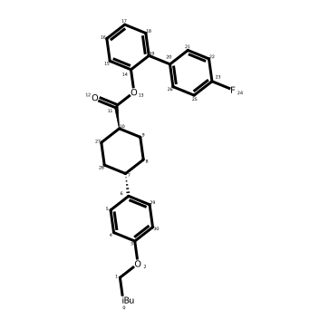 CCC(C)COc1ccc([C@H]2CC[C@H](C(=O)Oc3ccccc3-c3ccc(F)cc3)CC2)cc1